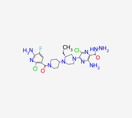 CC[C@H]1CN(c2nc(N)c(C(=O)NN)nc2Cl)CCN1C1CCN(C(=O)c2cc(F)c(N)nc2Cl)CC1